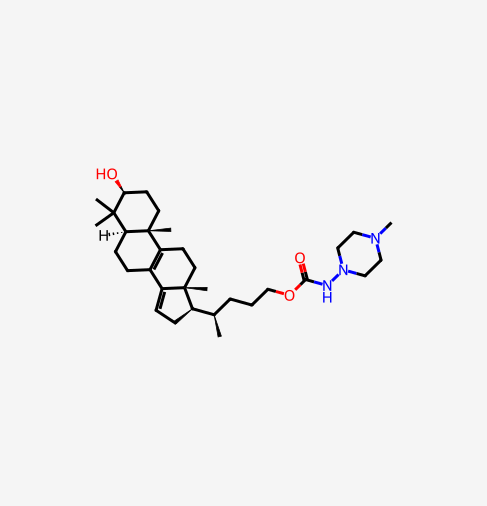 C[C@H](CCCOC(=O)NN1CCN(C)CC1)[C@H]1CC=C2C3=C(CC[C@@]21C)[C@@]1(C)CC[C@H](O)C(C)(C)[C@@H]1CC3